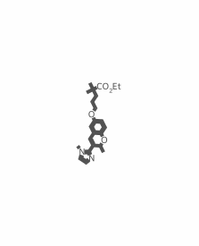 CCOC(=O)C(C)(C)CCCOc1ccc2c(c1)C=C(c1nccn1C)C(C)O2